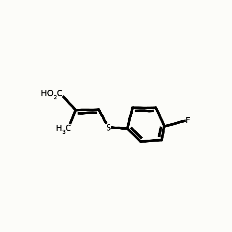 CC(=CSc1ccc(F)cc1)C(=O)O